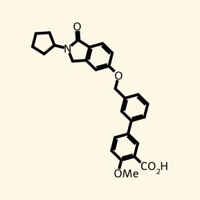 COc1ccc(-c2cccc(COc3ccc4c(c3)CN(C3CCCC3)C4=O)c2)cc1C(=O)O